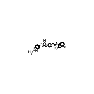 Cc1nc2cc(OC[C@H](O)CN3CCN(CC(=O)N[C@H]4c5cccc(F)c5C[C@@H]4O)CC3)ccc2s1